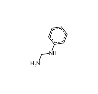 NCNc1ccccc1